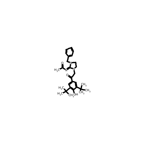 CC(=O)/N=C1/N(CC(=O)c2cc(C(C)(C)C)c(O)c(C(C)(C)C)c2)CCN1Cc1ccccc1